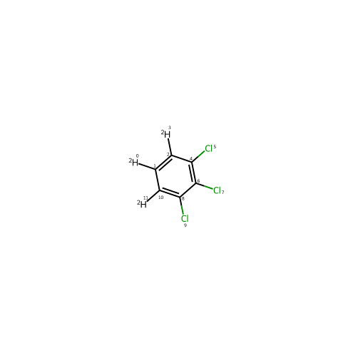 [2H]c1c([2H])c(Cl)c(Cl)c(Cl)c1[2H]